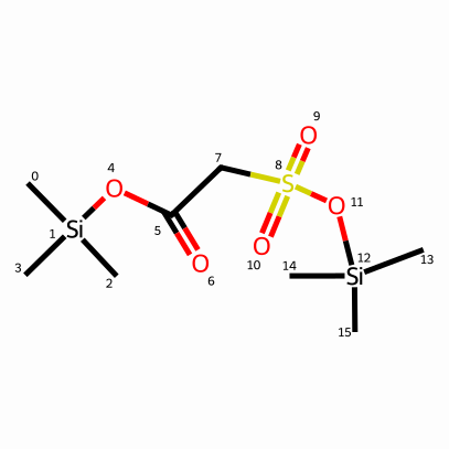 C[Si](C)(C)OC(=O)CS(=O)(=O)O[Si](C)(C)C